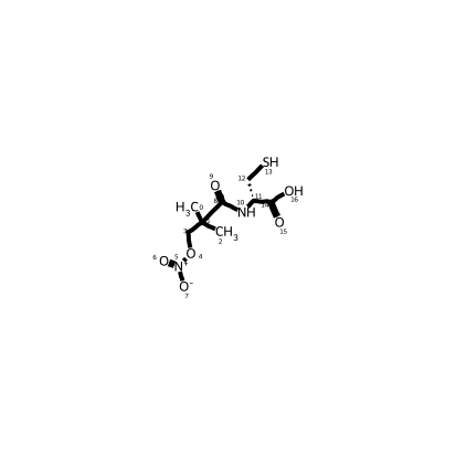 CC(C)(CO[N+](=O)[O-])C(=O)N[C@H](CS)C(=O)O